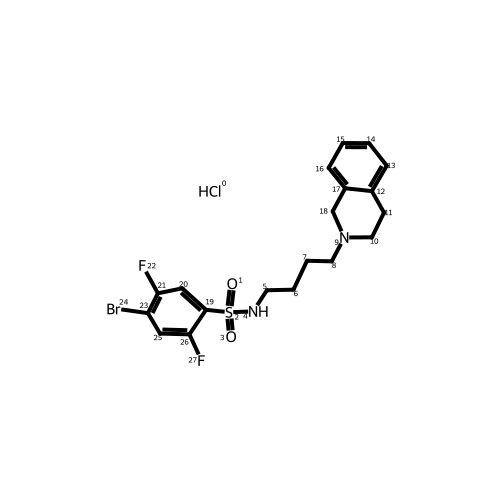 Cl.O=S(=O)(NCCCCN1CCc2ccccc2C1)c1cc(F)c(Br)cc1F